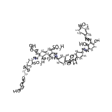 Nc1c(/N=N/c2ccc(S(=O)(=O)CCOSOOO)cc2S(=O)(=O)O)c(SOOO)cc2cc(S(=O)(=O)O)c(/N=N/c3ccc(S(=O)(=O)Nc4ccc(/N=N/c5ccc(O)c(N=Nc6ccc([N+](=O)[O-])cc6)c5O)cc4)cc3)c(O)c12